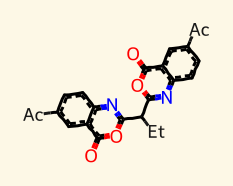 CCC(c1nc2ccc(C(C)=O)cc2c(=O)o1)c1nc2ccc(C(C)=O)cc2c(=O)o1